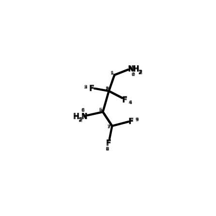 NCC(F)(F)C(N)C(F)F